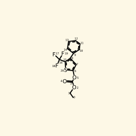 CCOC(=O)Oc1cc(-c2ccccc2)c(C(F)(F)F)s1